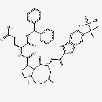 CN1CC[C@H]2CC[C@@H](C(=O)N[C@@H](CCC(N)=O)C(=O)NC(c3ccccc3)c3ccccc3)N2C(=O)[C@@H](NC(=O)c2cc3cc(C(F)(F)P(=O)(O)O)ccc3[nH]2)C1